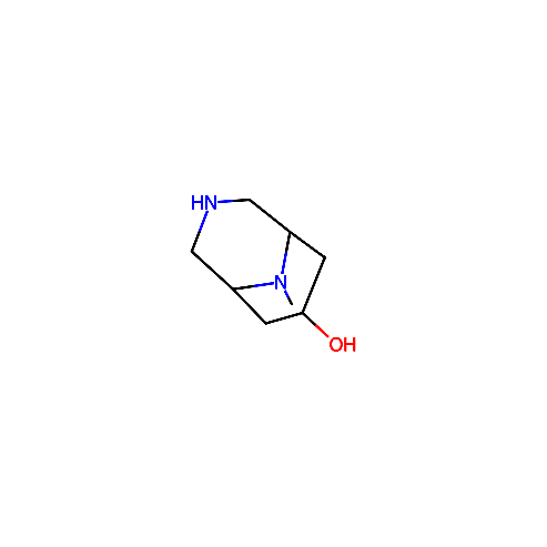 CN1C2CNCC1CC(O)C2